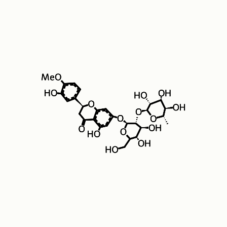 COc1ccc([C@@H]2CC(=O)c3c(O)cc(O[C@@H]4OC(CO)[C@@H](O)[C@H](O)[C@H]4O[C@@H]4O[C@@H](C)[C@H](O)[C@@H](O)[C@H]4O)cc3O2)cc1O